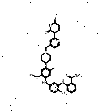 CNC(=O)c1ccccc1Nc1cc(Nc2cc(C)c(C3CCN(Cc4ccnc(C5CCC(=O)NC5=O)c4)CC3)cc2OC(C)C)ncc1C(F)(F)F